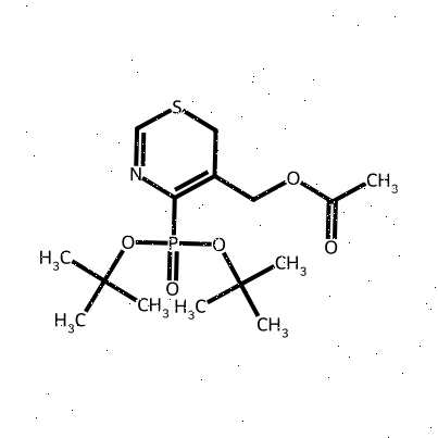 CC(=O)OCC1=C(P(=O)(OC(C)(C)C)OC(C)(C)C)N=CSC1